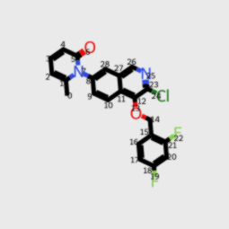 Cc1cccc(=O)n1-c1ccc2c(OCc3ccc(F)cc3F)c(Cl)ncc2c1